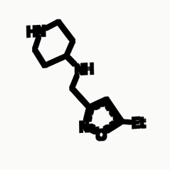 CCc1cc(CNC2CCNCC2)no1